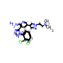 CN(C)CCn1cc(-c2cnc(N)c(-c3nnnn3-c3cccc(Cl)c3Cl)c2)cn1